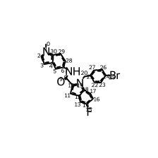 Cn1ccc2cc(NC(=O)c3cc4cc(F)ccc4n3Cc3ccc(Br)cc3)ccc21